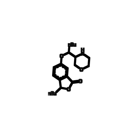 CCCCC1OC(=O)c2cc(OC(CCCC)C3COCCN3)ccc21